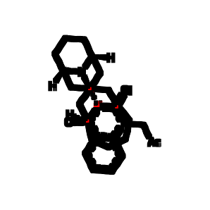 CC(=O)Cn1c(=O)n([C@H]2C[C@H]3CCC[C@@H](C2)N3[C@@H]2C[C@@H]3CCCC[C@@H](C3)C2)c(=O)c2ccccc21